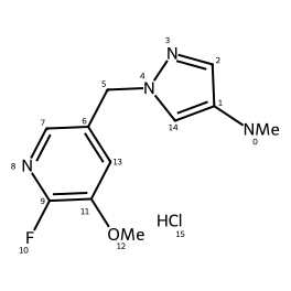 CNc1cnn(Cc2cnc(F)c(OC)c2)c1.Cl